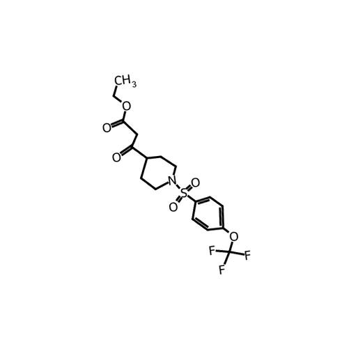 CCOC(=O)CC(=O)C1CCN(S(=O)(=O)c2ccc(OC(F)(F)F)cc2)CC1